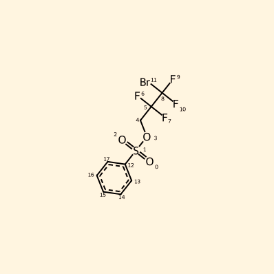 O=S(=O)(OCC(F)(F)C(F)(F)Br)c1ccccc1